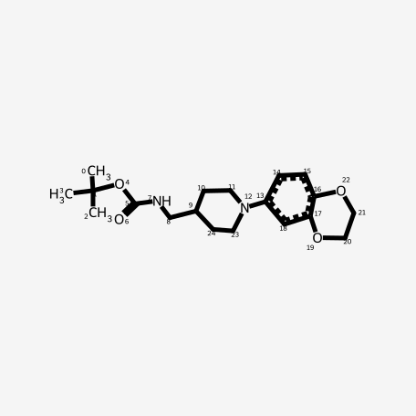 CC(C)(C)OC(=O)NCC1CCN(c2ccc3c(c2)OCCO3)CC1